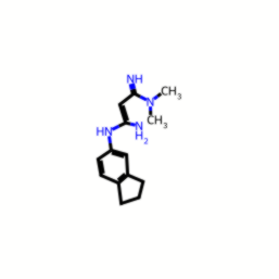 CN(C)C(=N)/C=C(\N)Nc1ccc2c(c1)CCC2